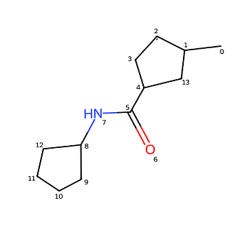 CC1[CH]CC(C(=O)NC2CCCC2)C1